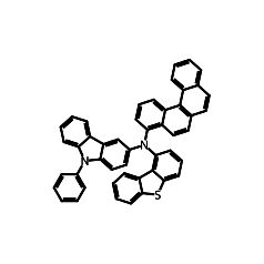 c1ccc(-n2c3ccccc3c3cc(N(c4cccc5c4ccc4ccc6ccccc6c45)c4cccc5sc6ccccc6c45)ccc32)cc1